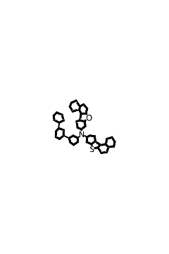 c1ccc(-c2cccc(-c3cccc(N(c4ccc5c(c4)oc4ccc6ccccc6c45)c4ccc5c(c4)sc4ccc6ccccc6c45)c3)c2)cc1